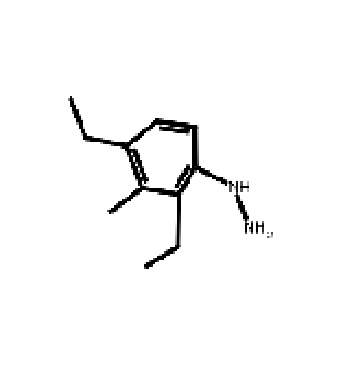 CCc1ccc(NN)c(CC)c1C